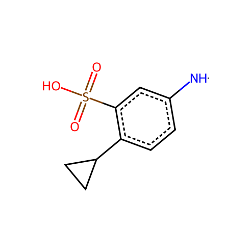 [NH]c1ccc(C2CC2)c(S(=O)(=O)O)c1